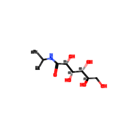 CCCC(CC)NC(=O)[C@H](O)[C@@H](O)[C@H](O)[C@H](O)CO